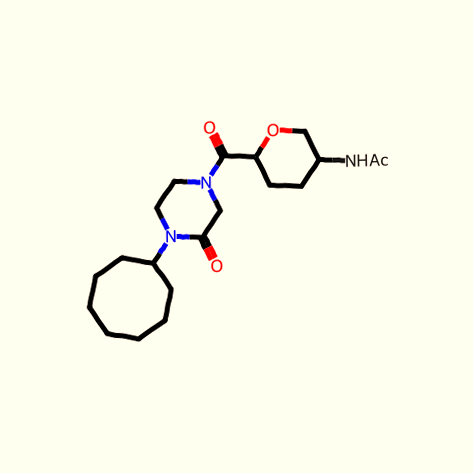 CC(=O)NC1CCC(C(=O)N2CCN(C3CCCCCCC3)C(=O)C2)OC1